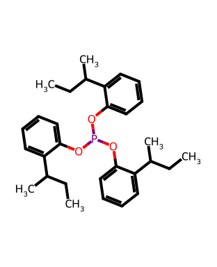 CCC(C)c1ccccc1OP(Oc1ccccc1C(C)CC)Oc1ccccc1C(C)CC